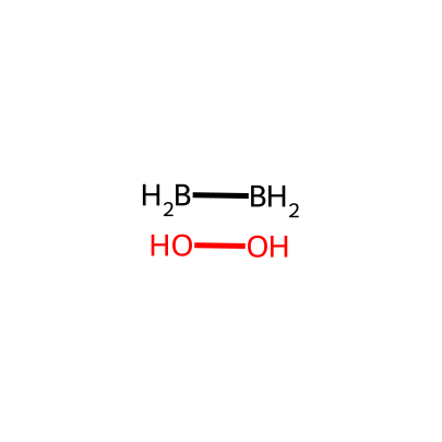 BB.OO